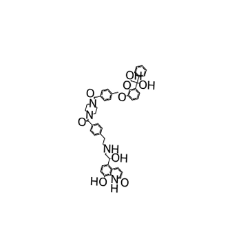 O=C(c1ccc(CCNC[C@H](O)c2ccc(O)c3[nH]c(=O)ccc23)cc1)N1CCN(C(=O)c2ccc(COc3cccc([C@](O)(C(=O)O)c4ccccc4)c3)cc2)CC1